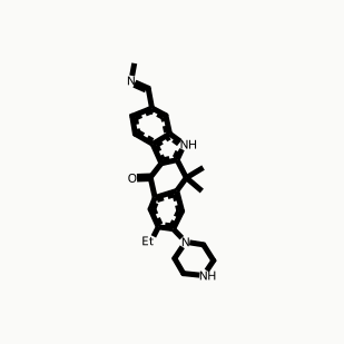 CCc1cc2c(cc1N1CCNCC1)C(C)(C)c1[nH]c3cc(/C=N/C)ccc3c1C2=O